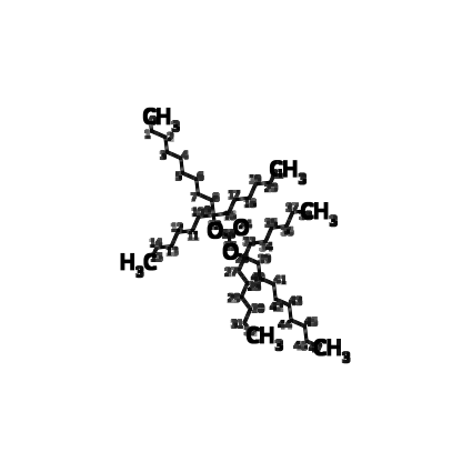 CCCCCCCCCC(CCCCCC)(CCCCCC)OC(=O)OC(CCCCCC)(CCCCCC)CCCCCCCCC